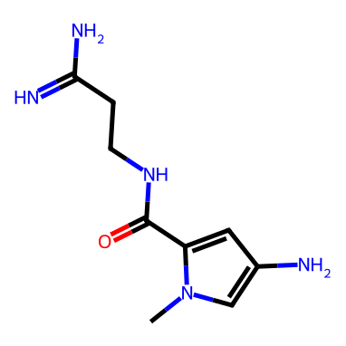 Cn1cc(N)cc1C(=O)NCCC(=N)N